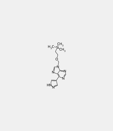 C[Si](C)(C)CCOCn1cnc2c(-c3cn[nH]c3)ncnc21